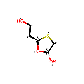 OCC[C@@H]1O[C@@H](O)CS1